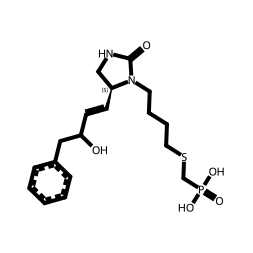 O=C1NC[C@H](C=CC(O)Cc2ccccc2)N1CCCCSCP(=O)(O)O